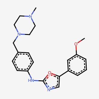 COc1cccc(-c2cnc(Nc3ccc(CN4CCN(C)CC4)cc3)o2)c1